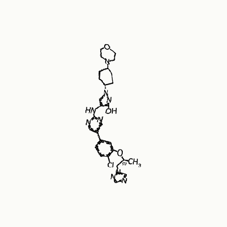 C[C@@H](Cn1cncn1)Oc1cc(-c2cnc(Nc3cn([C@H]4CC[C@H](N5CCOCC5)CC4)nc3O)nc2)ccc1Cl